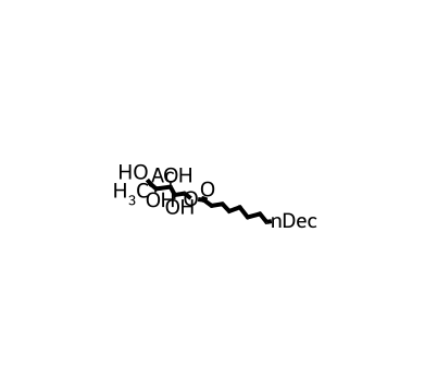 CCCCCCCCCCCCCCCCCC(=O)OC[C@@H](O)[C@@H](O)[C@H](O)[C@@](C)(O)C(C)=O